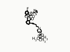 Cc1ccc(F)cc1C(C(=O)Nc1nccs1)N1Cc2cccc(C#CCCCN3CCN(C(=O)OC(C)(C)C)CC3)c2C1=O